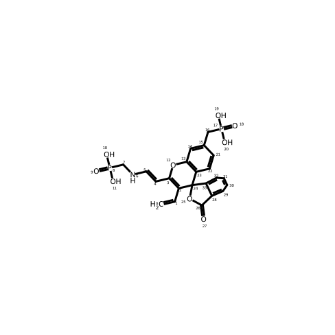 C=CC1=C(/C=C/NCP(=O)(O)O)Oc2cc(CP(=O)(O)O)ccc2C12OC(=O)c1ccccc12